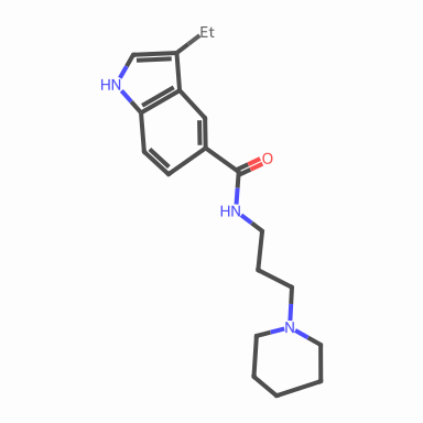 CCc1c[nH]c2ccc(C(=O)NCCCN3CCCCC3)cc12